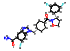 NC(=O)c1cc2ncn(C[C@H]3CC[C@H](C(=O)N4OCC[C@H]4c4cc(F)cc(F)c4)CC3)c2cc1F